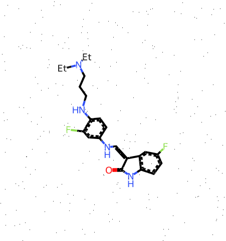 CCN(CC)CCCNc1ccc(NC=C2C(=O)Nc3ccc(F)cc32)cc1F